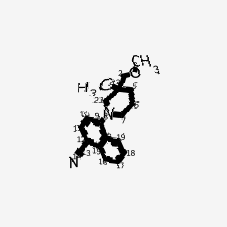 COCC1(C)CCCN(c2ccc(C#N)c3ccccc23)C1